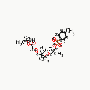 Cc1ccc(S(=O)(=O)OCC(C)(C)COCC(C)(C)COCC(=O)OC(C)(C)C)cc1